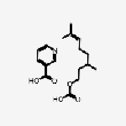 CC(C)=CCCC(C)CCOC(=O)O.O=C(O)c1cccnc1